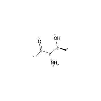 CC(=O)[C@@H](N)[C@H](C)O